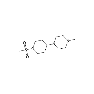 CN1CCN(C2CCN(S(C)(=O)=O)CC2)CC1